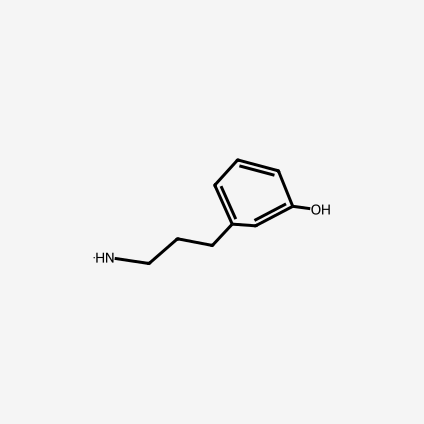 [NH]CCCc1cccc(O)c1